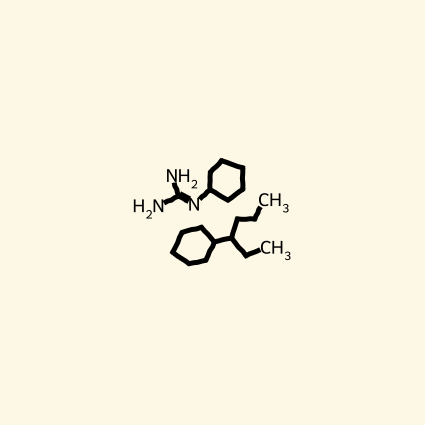 CCCC(CC)C1CCCCC1.NC(N)=NC1CCCCC1